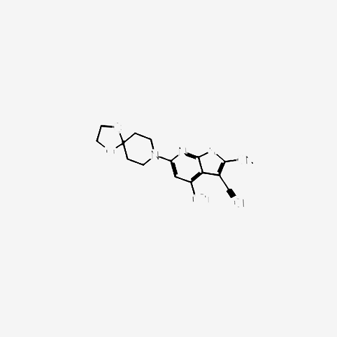 C#Cc1c(C#N)sc2nc(N3CCC4(CC3)OCCO4)cc(CCC)c12